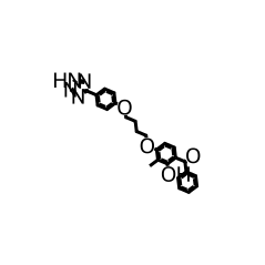 Cc1c(OCCCCOc2ccc(-c3nn[nH]n3)cc2)ccc(C(=O)c2ccccc2)c1O